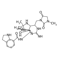 CN1CC(=O)N(CC2NC(=N)N3CC(NC(=O)c4cccc5c4NCC5)C(O)(O)C34NC(C)(C)NC24)C1=O